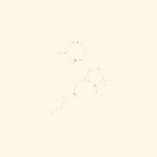 COc1cccc(-c2n[nH]c(=O)n2CC(=O)NC(C)C)n1